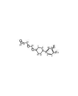 Fc1ccc(C2CCC(OCOCC3CO3)CC2)cc1F